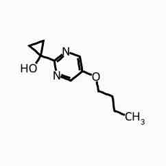 CCCCOc1cnc(C2(O)CC2)nc1